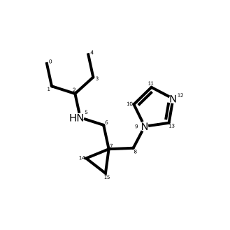 CCC(CC)NCC1(Cn2ccnc2)CC1